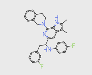 Cc1[nH]c2c(N3CCc4ccccc4C3)nc(C(Cc3cccc(F)c3)Nc3ccc(F)cc3)cc2c1C